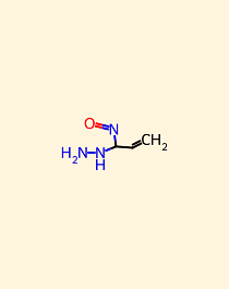 C=CC(N=O)NN